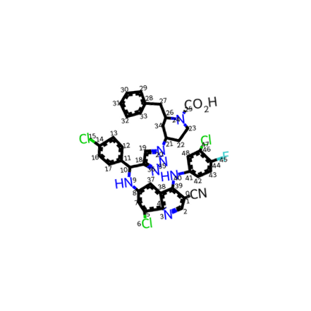 N#Cc1cnc2c(Cl)cc(NC(c3ccc(Cl)cc3)c3cn(C4CCN(C(=O)O)C(Cc5ccccc5)C4)nn3)cc2c1Nc1ccc(F)c(Cl)c1